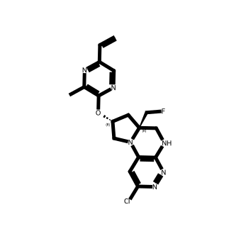 C=Cc1cnc(O[C@H]2CN3c4cc(Cl)nnc4NC[C@@]3(CF)C2)c(C)n1